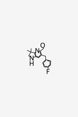 CC1(C)CNc2cc(Cc3ccc(F)cc3)c(C=O)nc21